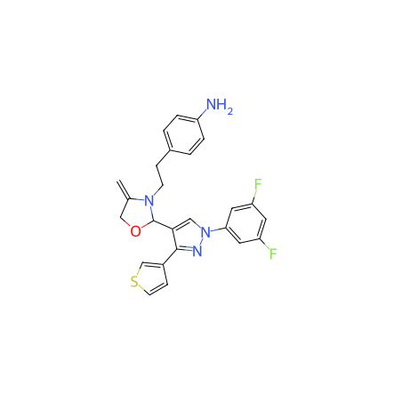 C=C1COC(c2cn(-c3cc(F)cc(F)c3)nc2-c2ccsc2)N1CCc1ccc(N)cc1